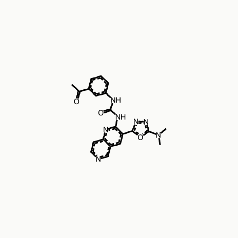 CC(=O)c1cccc(NC(=O)Nc2nc3ccncc3cc2-c2nnc(N(C)C)o2)c1